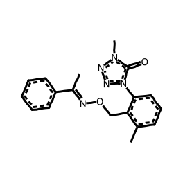 CC(=NOCc1c(C)cccc1-n1nnn(C)c1=O)c1ccccc1